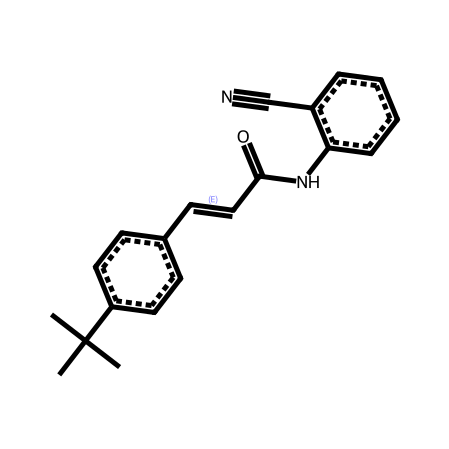 CC(C)(C)c1ccc(/C=C/C(=O)Nc2ccccc2C#N)cc1